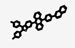 Cc1ccc(-c2oc3cc(-c4c5ccccc5c(-c5ccc(-c6ccc7ccccc7c6)cc5)c5ccccc45)ccc3c2-c2ccc(C)cc2)cc1